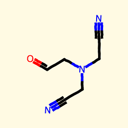 N#CCN(CC#N)CC=O